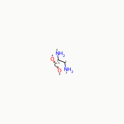 NCCN.O=C=O